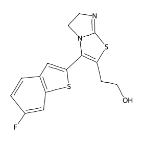 OCCC1=C(c2cc3ccc(F)cc3s2)N2CCN=C2S1